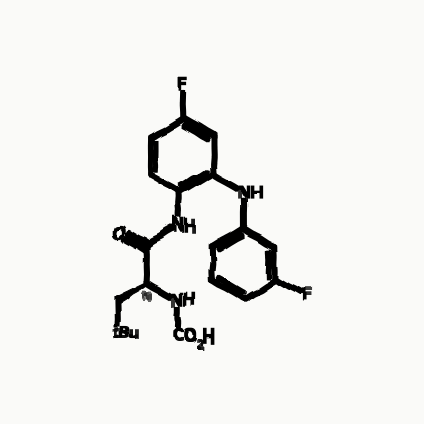 CC(C)(C)C[C@H](NC(=O)O)C(=O)Nc1ccc(F)cc1Nc1cccc(F)c1